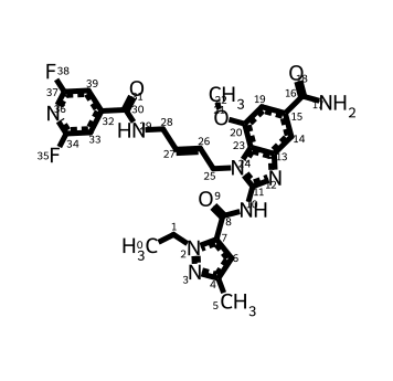 CCn1nc(C)cc1C(=O)Nc1nc2cc(C(N)=O)cc(OC)c2n1C/C=C/CNC(=O)c1cc(F)nc(F)c1